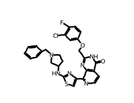 O=c1[nH]c(COc2ccc(F)c(Cl)c2)nc2c(-c3csc(NC4CCN(Cc5ccccc5)C4)n3)nccc12